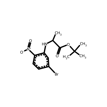 CC(Nc1cc(Br)ccc1[N+](=O)[O-])C(=O)OC(C)(C)C